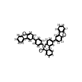 O=c1c2ccccc2c2cc(-c3ccc4oc5ccccc5c4c3)ccc2n1-c1ccc(-c2ccc3oc4ccccc4c3c2)cc1